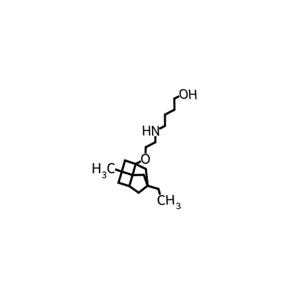 CCC12CC3CC4(C)CC(OCCNCCCCO)(C1)C34C2